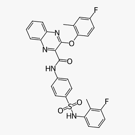 Cc1cc(F)ccc1Oc1nc2ccccc2nc1C(=O)Nc1ccc(S(=O)(=O)Nc2cccc(F)c2C)cc1